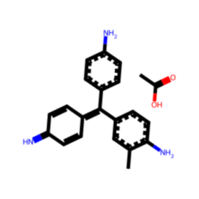 CC(=O)O.Cc1cc(C(=C2C=CC(=N)C=C2)c2ccc(N)cc2)ccc1N